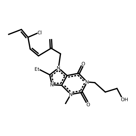 C=C(/C=C\C(Cl)=C/C)Cn1c(CC)nc2c1c(=O)n(CCCO)c(=O)n2C